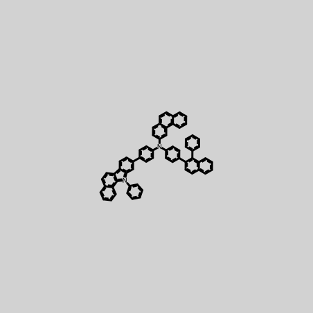 c1ccc(-c2c(-c3ccc(N(c4ccc(-c5ccc6c7ccc8ccccc8c7n(-c7ccccc7)c6c5)cc4)c4ccc5ccc6ccccc6c5c4)cc3)ccc3ccccc23)cc1